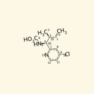 C=C[C@H](C)[C@H](NC(=O)O)c1cc(Cl)ccn1